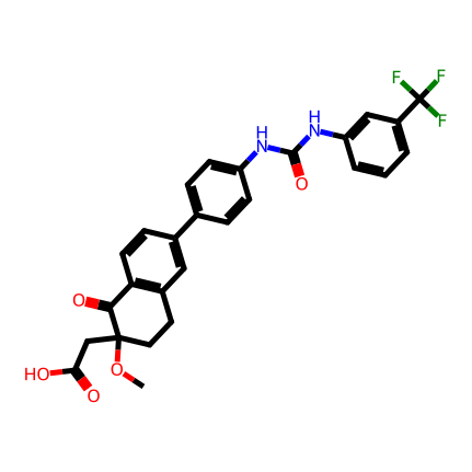 COC1(CC(=O)O)CCc2cc(-c3ccc(NC(=O)Nc4cccc(C(F)(F)F)c4)cc3)ccc2C1=O